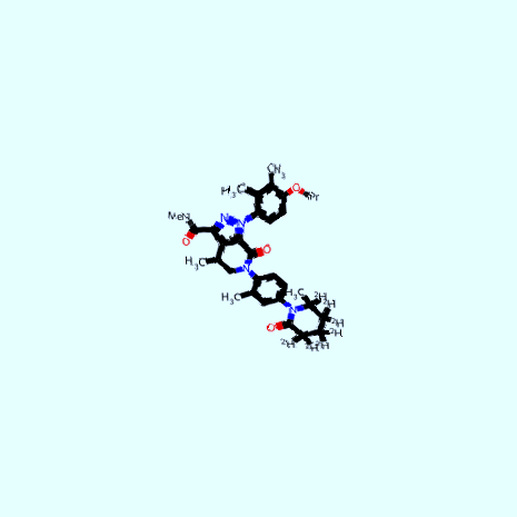 [2H]C1([2H])C(=O)N(c2ccc(N3CC(C)c4c(C(=O)NC)nn(-c5ccc(OC(C)C)c(C)c5C)c4C3=O)c(C)c2)C([2H])(C)C([2H])([2H])C1([2H])[2H]